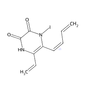 C=C/C=C\c1c(C=C)[nH]c(=O)c(=O)n1I